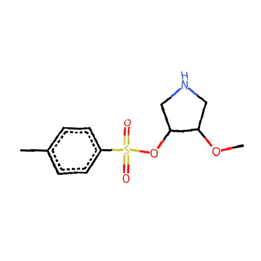 COC1CNCC1OS(=O)(=O)c1ccc(C)cc1